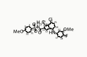 COc1ccc(S(=O)(=O)NC(=O)c2cc3c(Nc4ccc(F)c(OC)c4)ccc(Cl)c3n2C)cc1